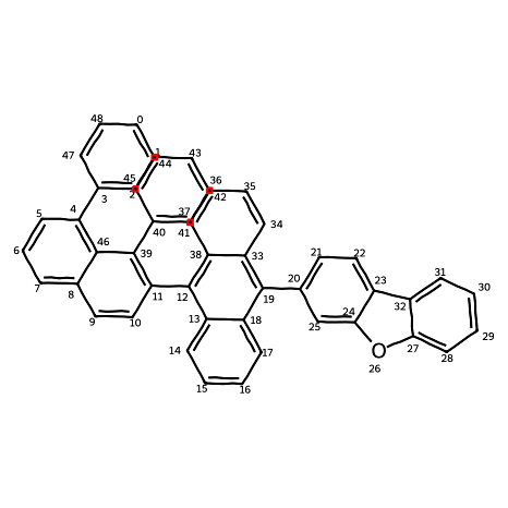 c1ccc(-c2cccc3ccc(-c4c5ccccc5c(-c5ccc6c(c5)oc5ccccc56)c5ccccc45)c(-c4ccccc4)c23)cc1